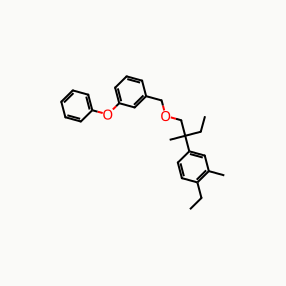 CCc1ccc(C(C)(CC)COCc2cccc(Oc3ccccc3)c2)cc1C